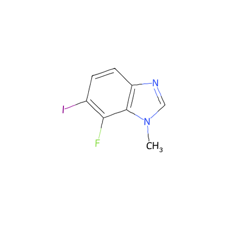 Cn1cnc2ccc(I)c(F)c21